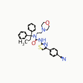 CCC(c1ccccc1)(c1ccccc1)N(CCN1CCOCC1)C(=O)Nc1nc(-c2ccc(C#N)cc2)cs1